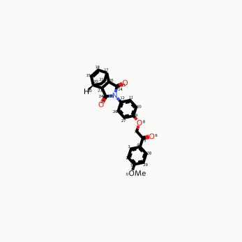 COc1ccc(C(=O)COc2ccc(N3C(=O)C4C5C=C[C@H](CC5)C4C3=O)cc2)cc1